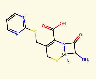 NC1C(=O)N2C(C(=O)O)=C(CSc3ncccn3)CS[C@H]12